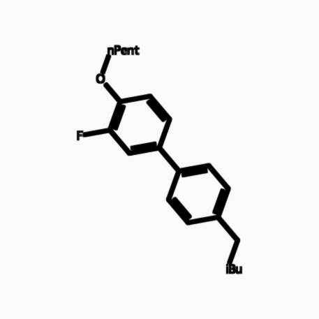 CCCCCOc1ccc(-c2ccc(CC(C)CC)cc2)cc1F